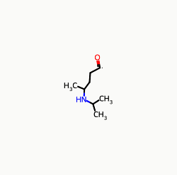 CC(C)NC(C)CC[C]=O